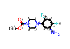 CC(C)(C)OC(=O)N1CCN(c2cc(N)c(F)cc2F)CC1